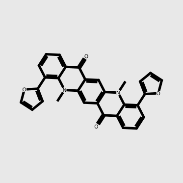 Cn1c2cc3c(=O)c4cccc(-c5ccco5)c4n(C)c3cc2c(=O)c2cccc(-c3ccco3)c21